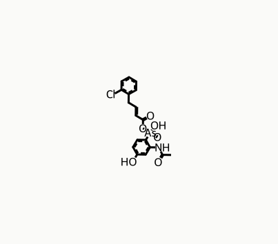 CC(=O)Nc1cc(O)ccc1[As](=O)(O)OC(=O)C=CCc1ccccc1Cl